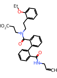 C=CCNC(=O)c1ccccc1-c1ccccc1C(=O)N(CCC(=O)O)CCc1ccccc1OCC